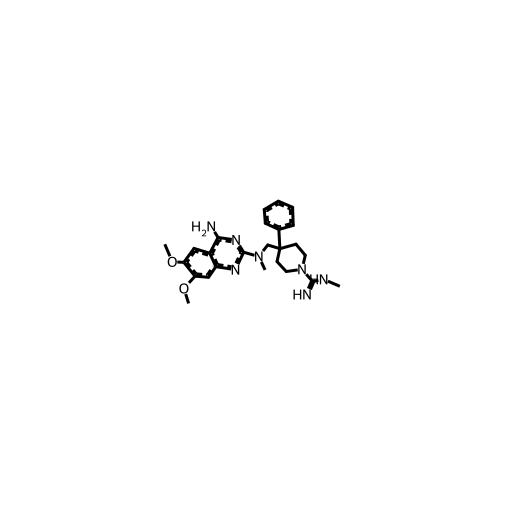 CNC(=N)N1CCC(CN(C)c2nc(N)c3cc(OC)c(OC)cc3n2)(c2ccccc2)CC1